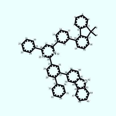 CC1(C)c2ccccc2-c2c(-c3cccc(-c4cc(-c5ccccc5)nc(-c5ccc(-c6ccccc6)c(-c6ccc7oc8ccccc8c7c6)c5)n4)c3)cccc21